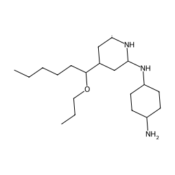 CCCCCC(OCCC)C1C[CH]NC(NC2CCC(N)CC2)C1